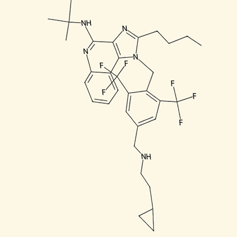 CCCCc1nc2c(NC(C)(C)C)nc3ccccc3c2n1Cc1c(C(F)(F)F)cc(CNCCC2CC2)cc1C(F)(F)F